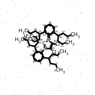 CCCC(CCC)c1cccc(C(CCC)CCC)c1N1[CH-][NH+](c2c(C(CCC)CCC)cccc2C(CCC)CCC)C(Cl)=C1Cl